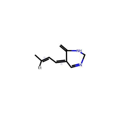 C=C1NCN=C/C1=C/C=C(/C)CC